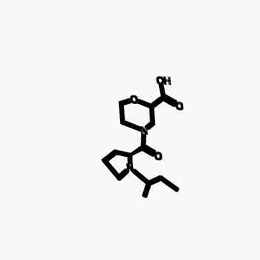 CCC(C)N1CCC[C@H]1C(=O)N1CCOC(C(=O)O)C1